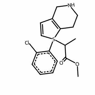 COC(=O)C(C)S1(c2ccccc2Cl)C=CC2=C1CCNC2